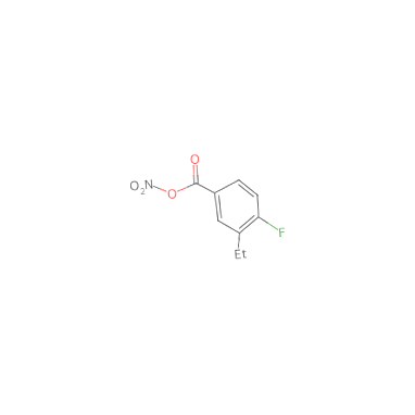 CCc1cc(C(=O)O[N+](=O)[O-])ccc1F